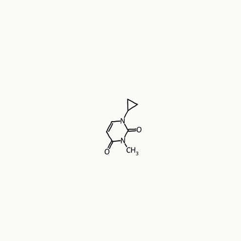 Cn1c(=O)ccn(C2CC2)c1=O